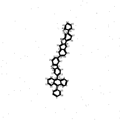 c1ccc(-c2c3ccccc3c(-c3ccc4c(c3)sc3ccc(-c5ccc6cc7c(cc6c5)sc5c7ccc6c7ccccc7sc65)cc34)c3ccccc23)cc1